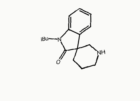 CCC(C)N1C(=O)C2(CCCNC2)c2ccccc21